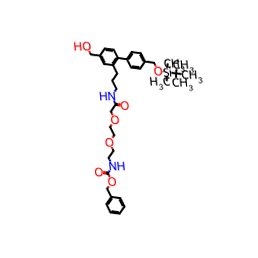 CC(C)(C)[Si](C)(C)OCc1ccc(-c2ccc(CO)cc2CCCNC(=O)COCCOCCNC(=O)OCc2ccccc2)cc1